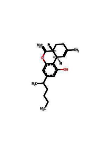 C=C1Oc2cc(C(C)CCCC)cc(O)c2[C@@H]2C=C(C)CC[C@@H]12